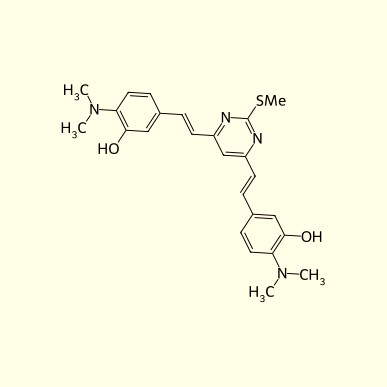 CSc1nc(/C=C/c2ccc(N(C)C)c(O)c2)cc(/C=C/c2ccc(N(C)C)c(O)c2)n1